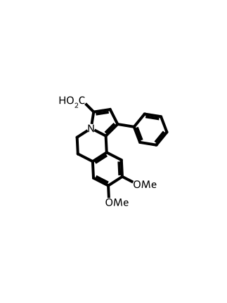 COc1cc2c(cc1OC)-c1c(-c3ccccc3)cc(C(=O)O)n1CC2